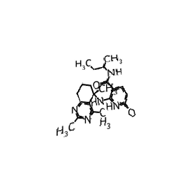 CCC(C)NC(=O)c1ccc(=O)[nH]c1NC1(C)CCCc2nc(C)nc(C)c21